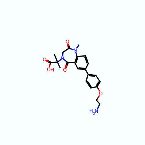 CN1C(=O)CN(C(C)(C)C(=O)O)C(=O)c2cc(-c3ccc(OCCN)cc3)ccc21